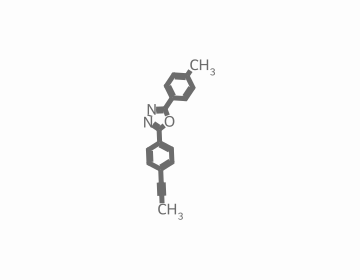 CC#Cc1ccc(-c2nnc(-c3ccc(C)cc3)o2)cc1